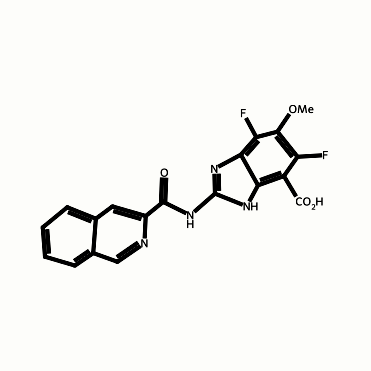 COc1c(F)c(C(=O)O)c2[nH]c(NC(=O)c3cc4ccccc4cn3)nc2c1F